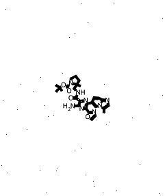 Cc1cnc2ccc(-c3nc(C(=O)NCC4(C)CCCN4C(=O)OC(C)(C)C)c(N)nc3-c3ncco3)cn12